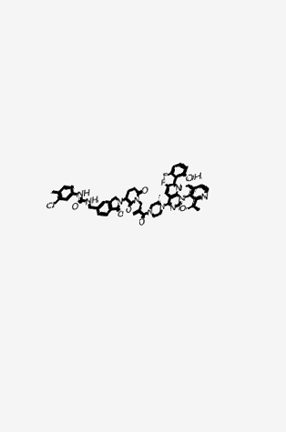 C=C(CN1C(=O)CCC(N2Cc3cc(CNC(=O)Nc4ccc(C)c(Cl)c4)ccc3C2=O)C1=O)C(=O)N1CCN(c2nc(=O)n(-c3c(C)ccnc3C(C)C)c3nc(-c4c(O)cccc4F)c(F)cc23)[C@@H](C)C1